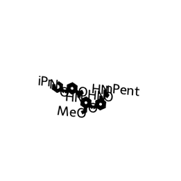 CCCCCNC(=O)Nc1cccc(Oc2ccc(NC(=O)c3cccc(OC4CCN(C(C)C)CC4)c3)cc2COC)c1